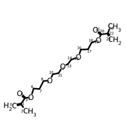 C=C(C)C(=O)OCCCOCCOCCOCCCOC(=O)C(=C)C